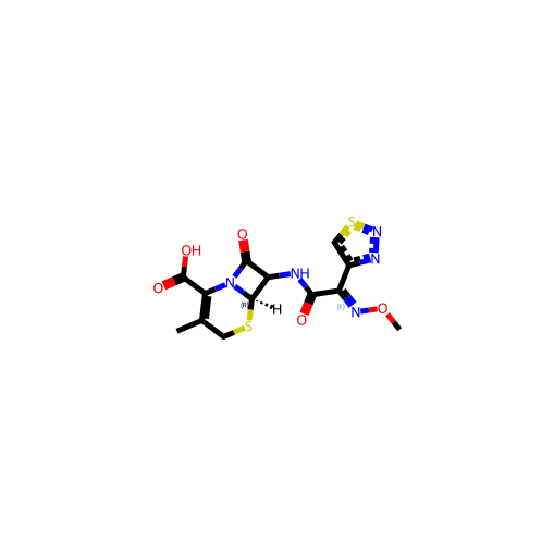 CO/N=C(/C(=O)NC1C(=O)N2C(C(=O)O)=C(C)CS[C@H]12)c1csnn1